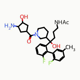 CC(=O)NCCCC(O)(c1cccc(F)c1-c1cc(C)ccc1F)C1CCCN(C(=O)C2CC(N)C(O)C2)C1